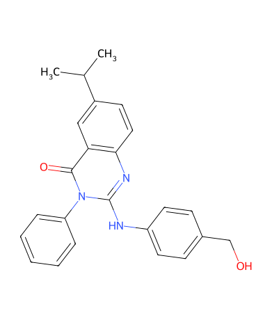 CC(C)c1ccc2nc(Nc3ccc(CO)cc3)n(-c3ccccc3)c(=O)c2c1